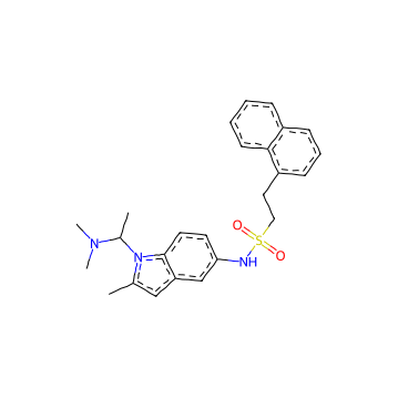 Cc1cc2cc(NS(=O)(=O)CCc3cccc4ccccc34)ccc2n1C(C)N(C)C